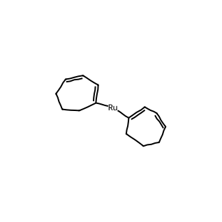 C1=CCCC[C]([Ru][C]2=CC=CCCC2)=C1